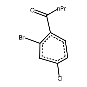 [CH2]CCC(=O)c1ccc(Cl)cc1Br